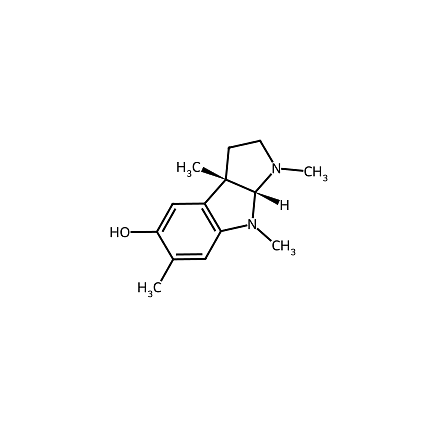 Cc1cc2c(cc1O)[C@]1(C)CCN(C)[C@@H]1N2C